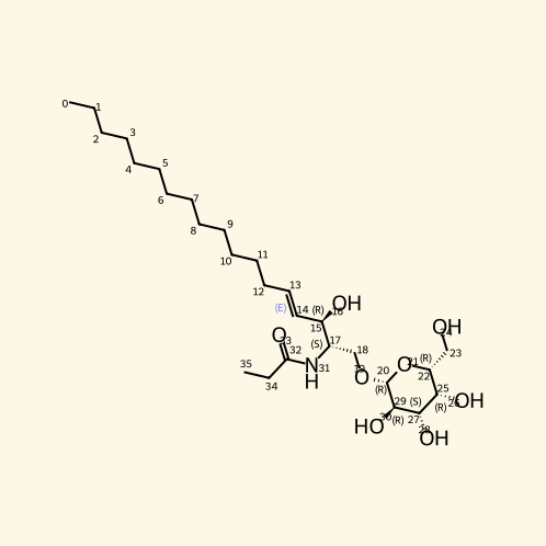 CCCCCCCCCCCCC/C=C/[C@@H](O)[C@H](CO[C@@H]1O[C@H](CO)[C@H](O)[C@H](O)[C@H]1O)NC(=O)CC